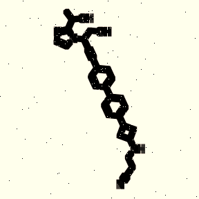 CC(O)c1nccn1C(C#Cc1ccc(-c2ccc(C3CC(NCCC#N)C3)cc2)cc1)CO